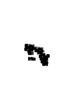 O=C(ON1C(=O)CC(S(=O)(=O)O)C1=O)c1cccc(OCc2ccc([N+](=O)[O-])c(CO)c2)c1.[NaH]